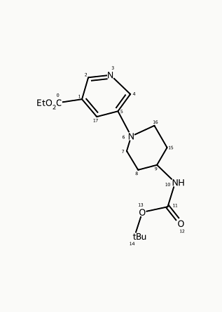 CCOC(=O)c1cncc(N2CCC(NC(=O)OC(C)(C)C)CC2)c1